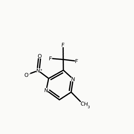 Cc1cnc([N+](=O)[O-])c(C(F)(F)F)n1